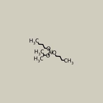 CCCC[O][Al]([O]CCCC)[O]C(C)C